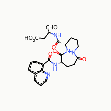 O=C[C@H](CC(=O)O)NC(=O)[C@@H]1CCCN2C(=O)CC[C@H](NC(=O)c3cccc4cccnc34)C(=O)N12